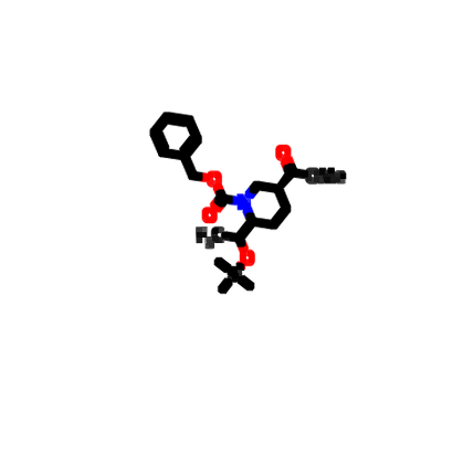 COC(=O)[C@H]1CCC(C(O[Si](C)(C)C)C(F)(F)F)N(C(=O)OCc2ccccc2)C1